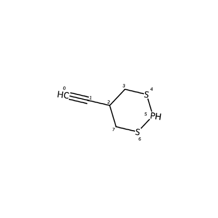 C#CC1CSPSC1